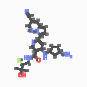 CC(C)(O)[C@H](F)CNC(=O)c1cnc(-c2ccc3cc(C#N)cnn23)cc1N[C@@H]1CC[C@@H](N)C1